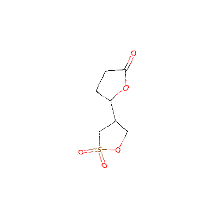 O=C1CCC(C2COS(=O)(=O)C2)O1